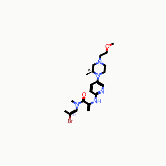 C=C(Nc1ccc(N2CCN(CCOC)C[C@@H]2C)cn1)C(=O)N(C)/C=C(\C)Br